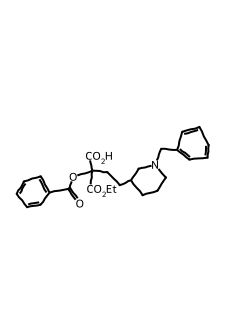 CCOC(=O)C(CCC1CCCN(Cc2ccccc2)C1)(OC(=O)c1ccccc1)C(=O)O